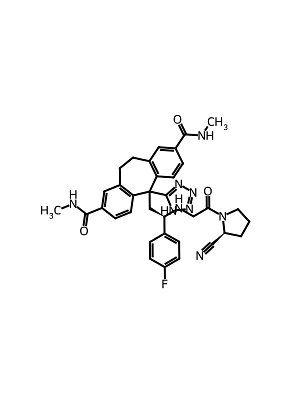 CNC(=O)c1ccc2c(c1)CCc1cc(C(=O)NC)ccc1C2(C[C@@H](NCC(=O)N1CCC[C@H]1C#N)c1ccc(F)cc1)c1nnn[nH]1